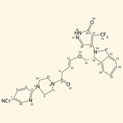 N#Cc1ccc(N2CCN(C(=O)C/C=C/OC[C@H]3c4ccccc4CN3c3cn[nH]c(=O)c3C(F)(F)F)CC2)nc1